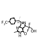 Cc1nc2c(c(C(F)(F)CO)nn2[C@@H](C)c2ccc(C(F)(F)F)cc2)c(=O)[nH]1